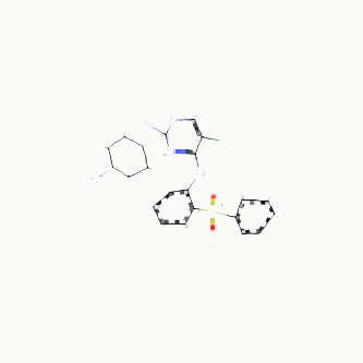 NC1([C@H]2CC[C@H](N)CC2)N=C(Nc2ccccc2S(=O)(=O)c2ccccc2)C(Cl)=CN1